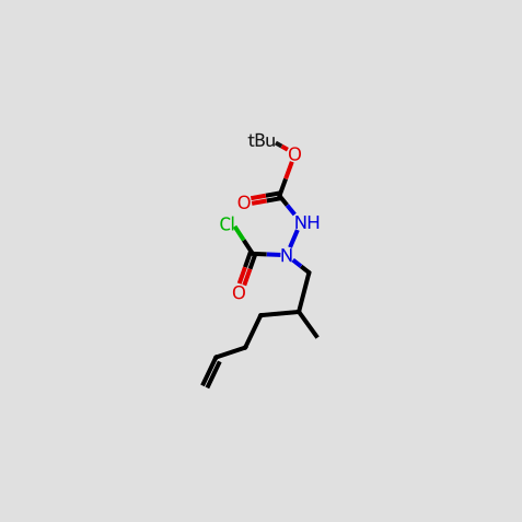 C=CCCC(C)CN(NC(=O)OC(C)(C)C)C(=O)Cl